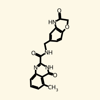 Cc1cccc2nc(C(=O)NCc3ccc4c(c3)NC(=O)CO4)[nH]c(=O)c12